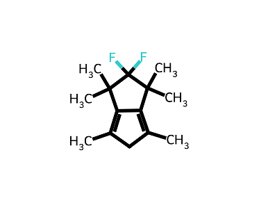 CC1=C2C(=C(C)C1)C(C)(C)C(F)(F)C2(C)C